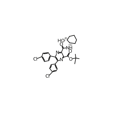 CC(C)(C)OC(=O)c1nc(-c2ccc(Cl)cc2)c(-c2ccc(Cl)cc2)nc1C(=O)N[C@H]1CCCC[C@H]1O